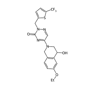 CCOc1ccc2c(c1)C(O)CN(c1cnn(Cc3ccc(C(F)(F)F)s3)c(=O)n1)C2